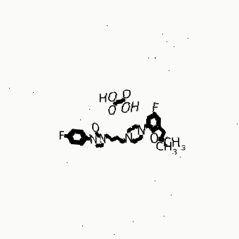 CC1(C)Cc2cc(F)cc(N3CCN(CCCCN4CCN(c5ccc(F)cc5)C4=O)CC3)c2O1.O=C(O)C(=O)O